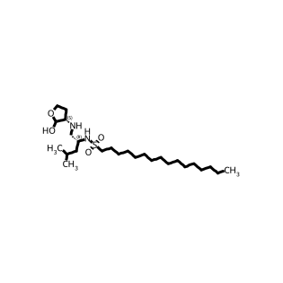 CCCCCCCCCCCCCCCCS(=O)(=O)N[C@@H](CN[C@H]1CCOC1O)CC(C)C